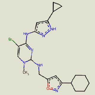 CN1C=C(Br)C(Nc2cc(C3CC3)[nH]n2)=NC1NCc1cc(C2CCCCC2)no1